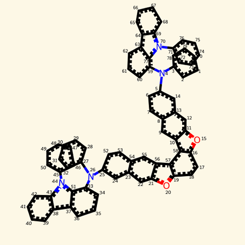 c1ccc(N(c2ccc3cc4c(cc3c2)oc2ccc3oc5cc6cc(N(c7ccccc7)c7cccc8c9ccccc9n(-c9ccccc9)c78)ccc6cc5c3c24)c2cccc3c4ccccc4n(-c4ccccc4)c23)cc1